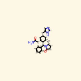 NC(=O)C[C@@H]1C[C@H](Cc2cnc[nH]2)C[C@H](C[C@H]2CCC(=O)N2Cc2ccccc2)C1